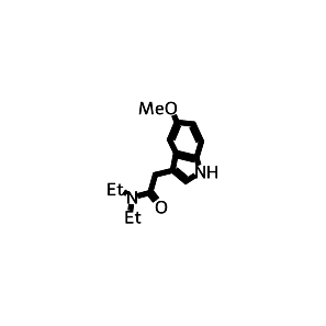 CCN(CC)C(=O)Cc1c[nH]c2ccc(OC)cc12